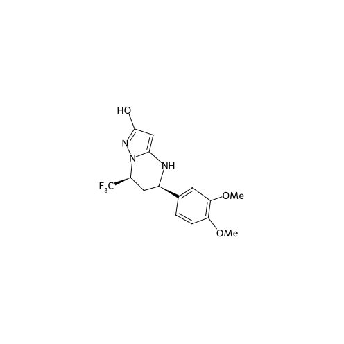 COc1ccc([C@H]2C[C@@H](C(F)(F)F)n3nc(O)cc3N2)cc1OC